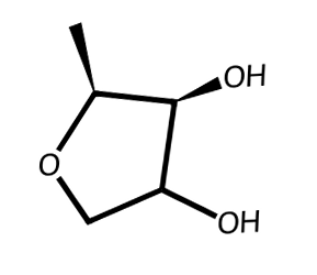 C[C@@H]1OCC(O)[C@@H]1O